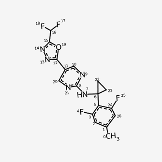 Cc1cc(F)c(C2(Nc3ncc(-c4nnc(C(F)F)o4)cn3)CC2)c(F)c1